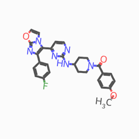 COc1ccc(C(=O)N2CCC(Nc3nccc(-c4c(-c5ccc(F)cc5)nc5occn45)n3)CC2)cc1